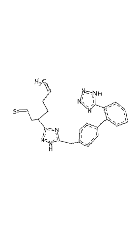 C=CCCC(CC=S)c1n[nH]c(Cc2ccc(-c3ccccc3-c3nnn[nH]3)cc2)n1